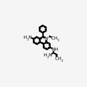 C=CC(N)Nc1ccc2c3ccc(N)cc3c(-c3ccccc3)[n+](CC)c2c1